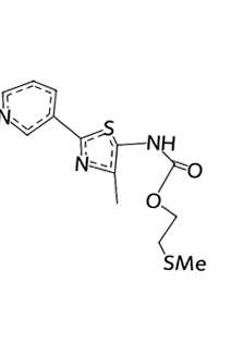 CSCCOC(=O)Nc1sc(-c2cccnc2)nc1C